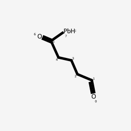 O=CCCC[C](=O)[PbH]